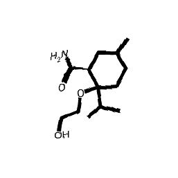 CC1CCC(OCCO)(C(C)C)[C@@H](C(N)=O)C1